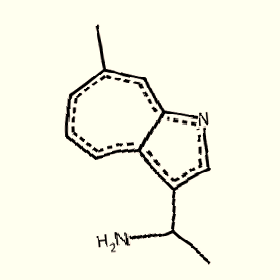 Cc1cccc2c(C(C)N)cnc-2c1